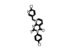 O=c1c2cccn(Cc3ccc(Cl)nc3)c-2nc(=S)n1-c1ccc(Cl)cc1